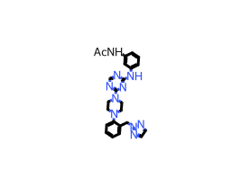 CC(=O)Nc1cccc(Nc2ncnc(N3CCN(c4ccccc4Cn4nccn4)CC3)n2)c1